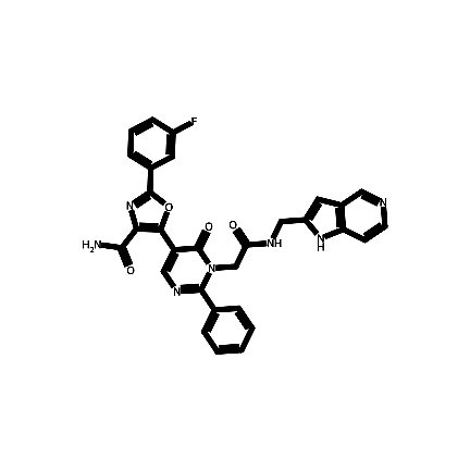 NC(=O)c1nc(-c2cccc(F)c2)oc1-c1cnc(-c2ccccc2)n(CC(=O)NCc2cc3cnccc3[nH]2)c1=O